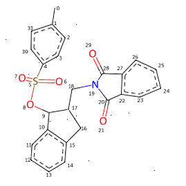 Cc1ccc(S(=O)(=O)OC2c3ccccc3CC2CN2C(=O)c3ccccc3C2=O)cc1